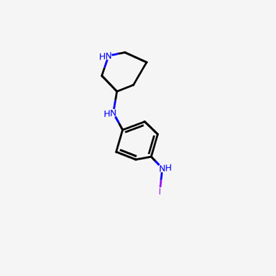 INc1ccc(NC2CCCNC2)cc1